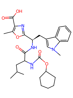 Cc1oc([C@@H](Cc2cn(C)c3ccccc23)NC(=O)C(CC(C)C)NC(=O)OC2CCCCC2)nc1C(=O)O